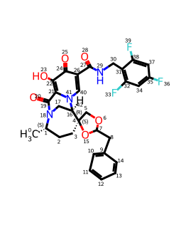 C[C@H]1CC[C@@]2(COC(Cc3ccccc3)O2)[C@H]2CN1C(=O)c1c(O)c(=O)c(C(=O)NCc3c(F)cc(F)cc3F)cn12